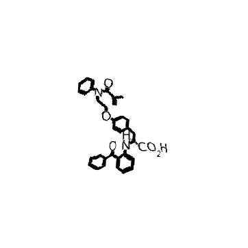 C=C(C)C(=O)N(CCOc1ccc(C[C@H](Nc2ccccc2C(=O)c2ccccc2)C(=O)O)cc1)c1ccccc1